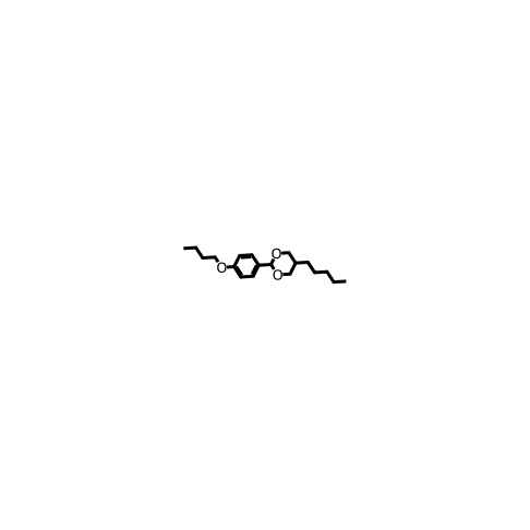 CCCCCC1COC(c2ccc(OCCCC)cc2)OC1